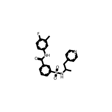 Cc1cc(NC(=O)c2cccc(S(=O)(=O)NC(C)Cc3ccncc3)c2)ccc1F